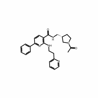 CC(=O)N1CC[C@@H](CNC(=O)c2ccc(-c3ccccc3)nc2NCCc2ccccn2)C1